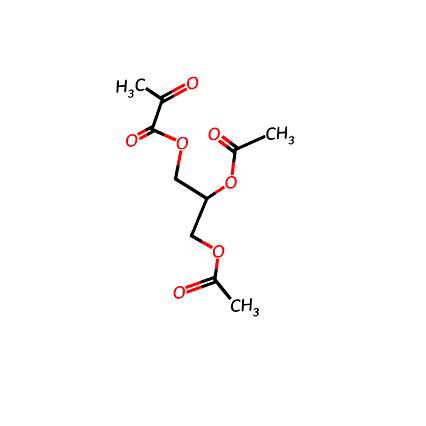 CC(=O)OCC(COC(=O)C(C)=O)OC(C)=O